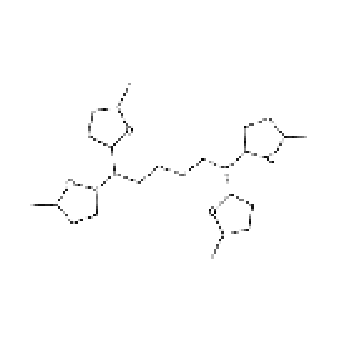 CC1CCC(C(CCCCC(C2CCC(C)O2)[C@@H]2CCC(C)O2)C2CCC(C)O2)O1